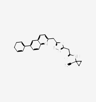 N#CC1(NC(=O)Cc2nnc(Cc3ccc4cc(C5=CCCC=C5)ccc4n3)o2)CC1